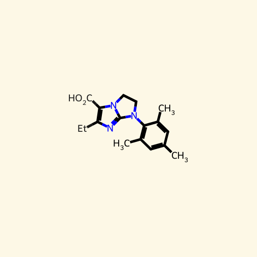 CCc1nc2n(c1C(=O)O)CCN2c1c(C)cc(C)cc1C